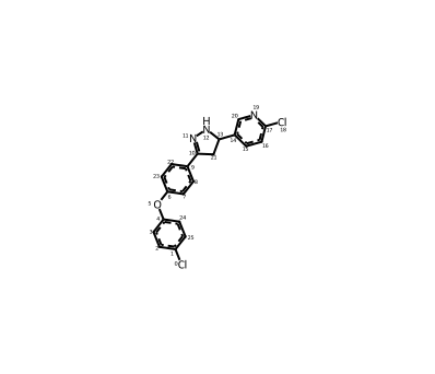 Clc1ccc(Oc2ccc(C3=NNC(c4ccc(Cl)nc4)C3)cc2)cc1